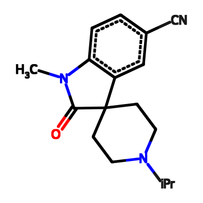 CC(C)N1CCC2(CC1)C(=O)N(C)c1ccc(C#N)cc12